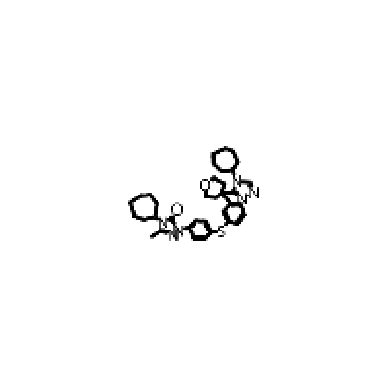 Cc1nn(-c2ccc(Sc3cccc(C4(c5nncn5C5CCCCCC5)CCOCC4)c3)cc2)c(=O)n1C1CCCCCC1